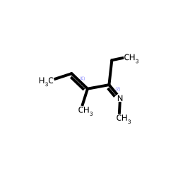 C/C=C(C)/C(CC)=N\C